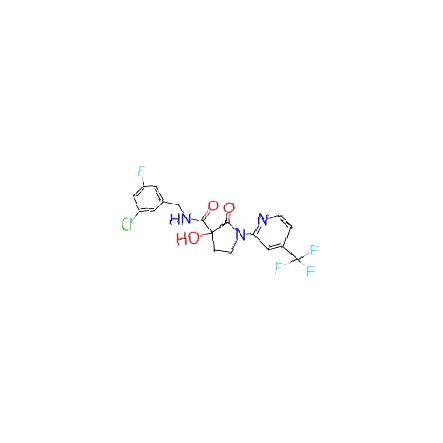 O=C(NCc1cc(F)cc(Cl)c1)C1(O)CCN(c2cc(C(F)(F)F)ccn2)C1=O